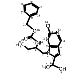 CCC(Cn1c(C(O)O)cc2cnc(Cl)nc21)NC(=O)OCc1ccccc1